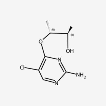 C[C@@H](O)[C@@H](C)Oc1nc(N)ncc1Cl